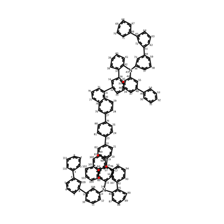 c1ccc(-c2cccc(-c3cccc(N(c4ccc(-c5ccc(-c6ccc(-c7ccc8c(-c9cccc(-c%10ccccc%10N(c%10cccc(-c%11ccccc%11)c%10)c%10cccc(-c%11cccc(-c%12ccccc%12)c%11)c%10)c9)cccc8c7)cc6)cc5)cc4)c4ccccc4-c4cccc(-c5cccc6ccccc56)c4)c3)c2)cc1